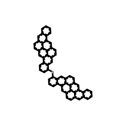 c1ccc2c(c1)cc1ccc3cc4c5cccc([N]c6cccc7c6cc6ccc8cc9c%10ccccc%10cc%10ccc%11cc7c6c8c%11c%109)c5cc5ccc6cc2c1c3c6c54